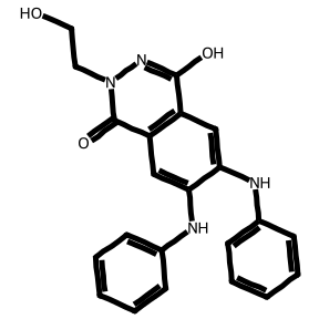 O=c1c2cc(Nc3ccccc3)c(Nc3ccccc3)cc2c(O)nn1CCO